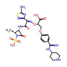 C[C@H]1[C@H](NC(=O)C(=NOC(COc2ccc(C(=N)NC3CCNCC3)cc2)C(=O)O)c2nsc(N)n2)C(=O)N1S(=O)(=O)O